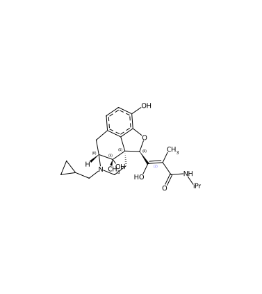 C/C(C(=O)NC(C)C)=C(/O)[C@@H]1Oc2c(O)ccc3c2[C@@]12CCN(CC1CC1)[C@H](C3)[C@@]2(C)O